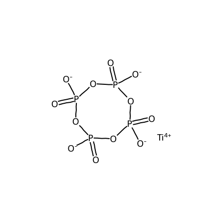 O=P1([O-])OP(=O)([O-])OP(=O)([O-])OP(=O)([O-])O1.[Ti+4]